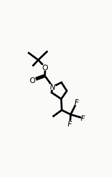 CC(C1CCN(C(=O)OC(C)(C)C)C1)C(F)(F)F